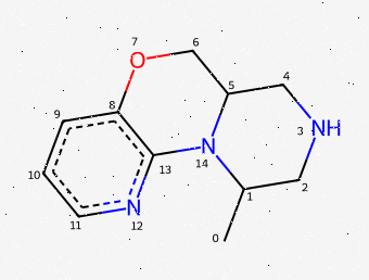 CC1CNCC2COc3cccnc3N12